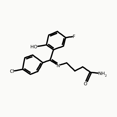 NC(=O)CCC/N=C(/c1ccc(Cl)cc1)c1cc(F)ccc1O